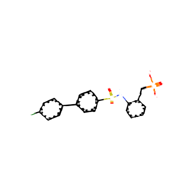 O=P(O)(O)Cc1ccccc1NS(=O)(=O)c1ccc(-c2ccc(Cl)cc2)cc1